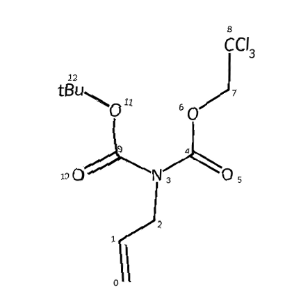 C=CCN(C(=O)OCC(Cl)(Cl)Cl)C(=O)OC(C)(C)C